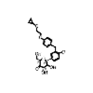 O=C1[C@@H](CO)O[C@@H](c2ccc(Cl)c(Cc3ccc(OCCOC4CC4)cc3)c2)C(O)[C@H]1O